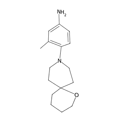 Cc1cc(N)ccc1N1CCC2(CCCCO2)CC1